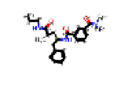 [CH2]C(C[C@H](Cc1ccccc1)NC(=O)c1cccc(C(=O)N(CCC)CCC)c1)C(=O)NCCC(C)C